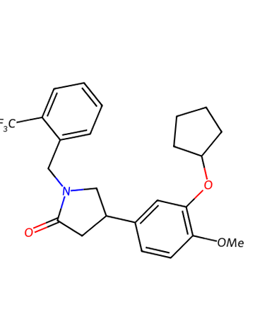 COc1ccc(C2CC(=O)N(Cc3ccccc3C(F)(F)F)C2)cc1OC1CCCC1